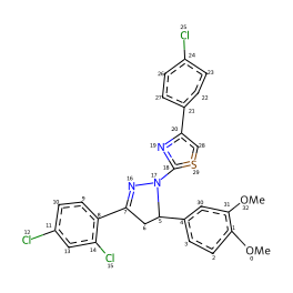 COc1ccc(C2CC(c3ccc(Cl)cc3Cl)=NN2c2nc(-c3ccc(Cl)cc3)cs2)cc1OC